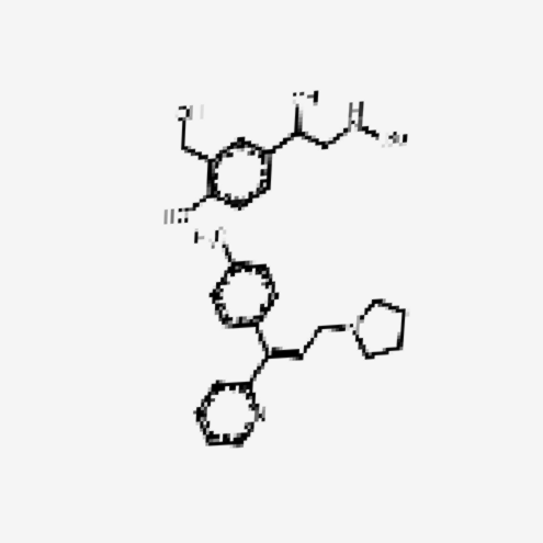 CC(C)(C)NCC(O)c1ccc(O)c(CO)c1.Cc1ccc(/C(=C\CN2CCCC2)c2ccccn2)cc1